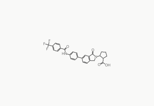 O=C(Nc1ccc(-c2ccc3c(c2)C(=O)N(C2CCCC2C(=O)O)C3)cc1)c1ccc(C(F)(F)F)cc1